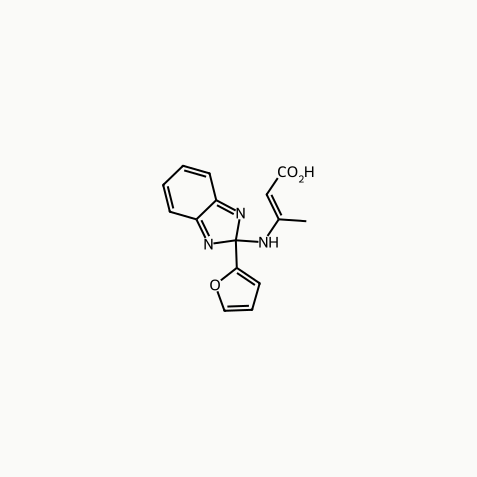 CC(=CC(=O)O)NC1(c2ccco2)N=c2ccccc2=N1